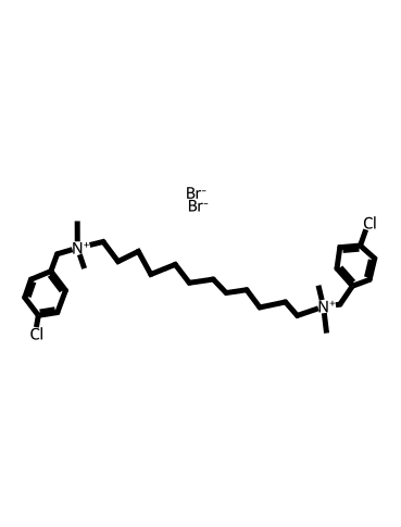 C[N+](C)(CCCCCCCCCCCC[N+](C)(C)Cc1ccc(Cl)cc1)Cc1ccc(Cl)cc1.[Br-].[Br-]